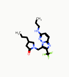 CCCNc1ccc2nc(C(F)(F)F)c(CN3CC(CCC)CC3=O)n2n1